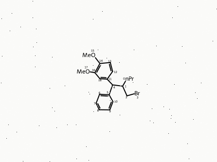 CCCC(CBr)C(c1ccccc1)c1ccc(OC)c(OC)c1